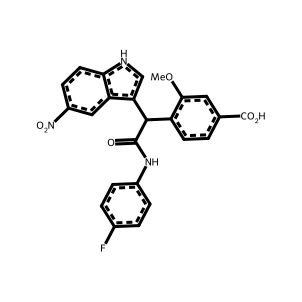 COc1cc(C(=O)O)ccc1C(C(=O)Nc1ccc(F)cc1)c1c[nH]c2ccc([N+](=O)[O-])cc12